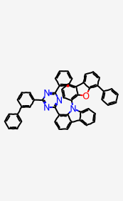 c1ccc(-c2cccc(-c3nc(-c4ccccc4)nc(-c4cccc5c6ccccc6n(-c6cccc7c6oc6c(-c8ccccc8)cccc67)c45)n3)c2)cc1